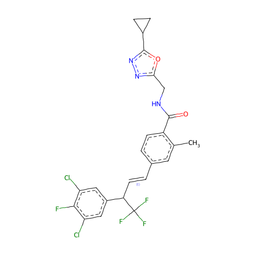 Cc1cc(/C=C/C(c2cc(Cl)c(F)c(Cl)c2)C(F)(F)F)ccc1C(=O)NCc1nnc(C2CC2)o1